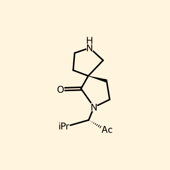 CC(=O)[C@H](C(C)C)N1CC[C@]2(CCNC2)C1=O